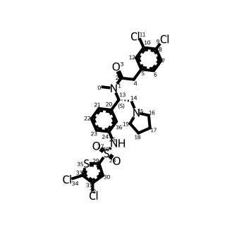 CN(C(=O)Cc1ccc(Cl)c(Cl)c1)[C@H](CN1CCCC1)c1cccc(NS(=O)(=O)c2cc(Cl)c(Cl)s2)c1